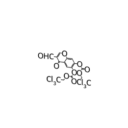 O=Cc1coc2cc(OC(=O)OCC(Cl)(Cl)Cl)c(OC(=O)OCC(Cl)(Cl)Cl)cc2c1=O